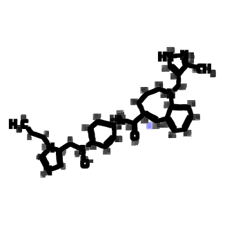 CCCn1cncc1C[S+]([O-])c1ccc(NC(=O)/C2=C/c3ccccc3N(Cc3c[nH]nc3C)CCC2)cc1